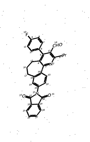 CC(C)c1nc2c(c(-c3ccc(F)cc3)c1C=O)CCCc1cc(N3C(=O)c4ccccc4C3=O)ccc1-2